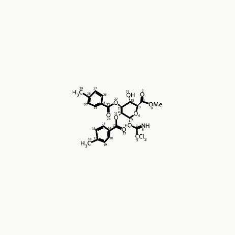 COC(=O)[C@H]1O[C@H](OC(=N)C(Cl)(Cl)Cl)[C@H](OC(=O)c2ccc(C)cc2)[C@@H](OC(=O)c2ccc(C)cc2)[C@@H]1O